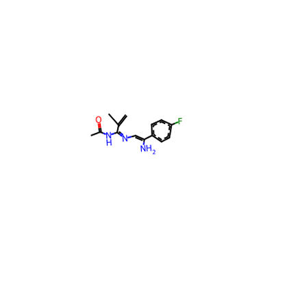 C=C(C)/C(=N\C=C(/N)c1ccc(F)cc1)NC(C)=O